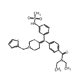 CCN(CC)C(=O)c1ccc(C(=C2CCN(Cc3cccs3)CC2)c2cccc(NS(C)(=O)=O)c2)cc1